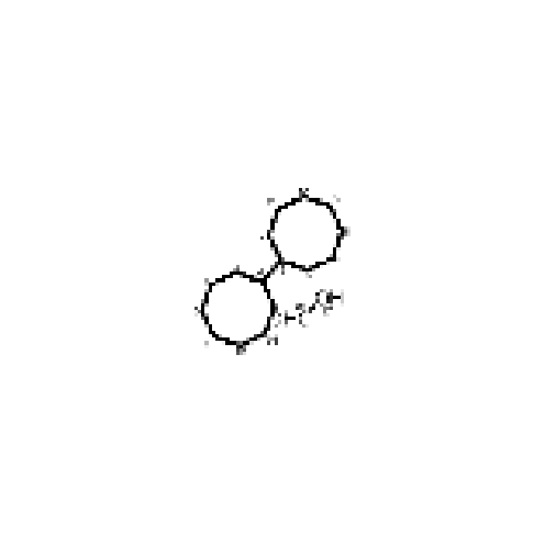 C1CCCC(C2CCCCCCC2)CCC1.O=CO